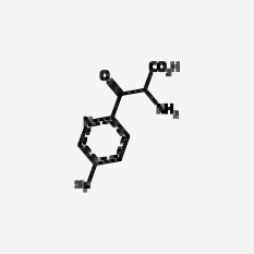 NC(C(=O)O)C(=O)c1ccc([18F])cn1